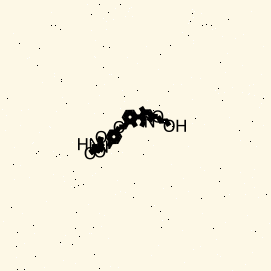 Cc1cc(OCCO)nc(C)c1-c1cccc(COc2ccc(Cn3oc(=O)[nH]c3=O)cc2)c1C